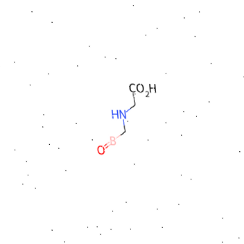 O=BCNCC(=O)O